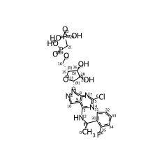 C[C@@H](Nc1nc(Cl)nc2c1cnn2[C@@H]1O[C@H](COP(=O)(O)CP(=O)(O)O)[C@@H](O)[C@H]1O)c1ccccc1F